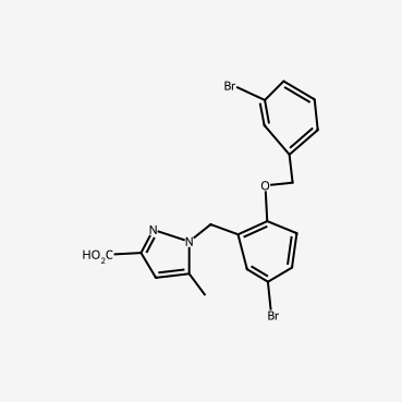 Cc1cc(C(=O)O)nn1Cc1cc(Br)ccc1OCc1cccc(Br)c1